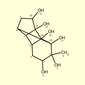 CC1(O)C(O)CC2C3C4CC(O)C3(O)C2(O)C41O